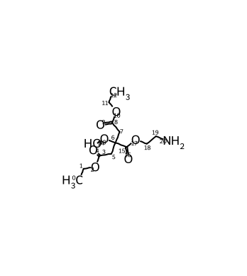 CCOC(=O)CC(CC(=O)OCC)(OO)C(=O)OCCN